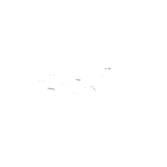 COC1CC(C2CC(C)C3C(=O)N(C4C=NN(CC(F)(F)F)C4)CC3=N2)C=CC1F